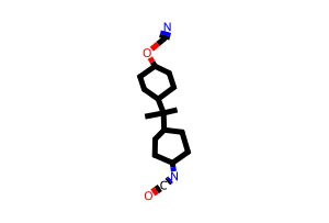 CC(C)(C1CCC(N=C=O)CC1)C1CCC(OC#N)CC1